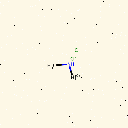 C[NH][Hf+2].[Cl-].[Cl-]